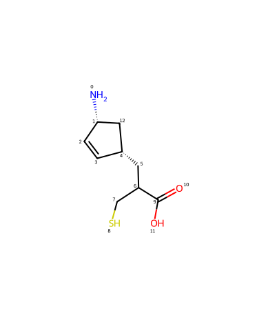 N[C@H]1C=C[C@@H](CC(CS)C(=O)O)C1